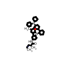 C=C(/C=C\C)C(=O)Nc1ccc2c(c1)c1cc(C)ccc1n2-c1ccccc1-c1ccc(N(c2ccccc2)c2ccccc2)cc1